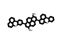 CC(C)(C)c1cc(-c2ccc3c(c2)Oc2cccc4cccc-3c24)c2ccc3c(C(C)(C)C)cc(-c4ccc5c6c(cccc46)-c4ccccc4O5)c4ccc1c2c43